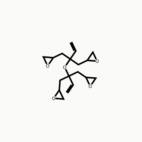 C=CC(CC1CO1)(CC1CO1)OC(C=C)(CC1CO1)CC1CO1